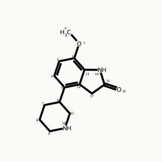 COc1ccc(C2CCCNC2)c2c1NC(=O)C2